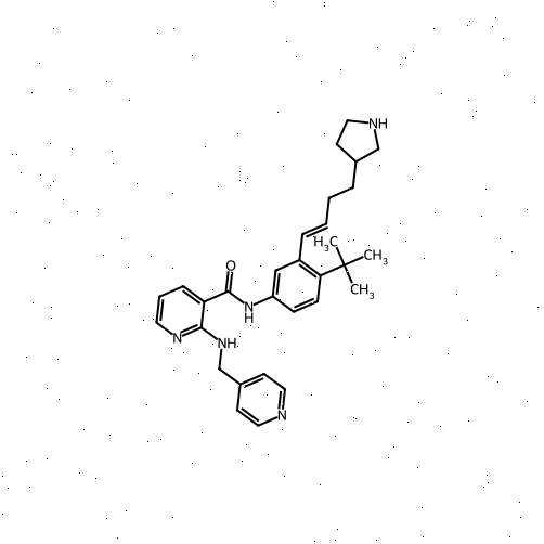 CC(C)(C)c1ccc(NC(=O)c2cccnc2NCc2ccncc2)cc1/C=C/CCC1CCNC1